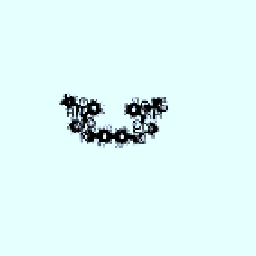 O=C(N[C@H](C(=O)N1CCC[C@H]1c1ncc(-c2ccc(-c3ccc(-c4cnc([C@@H]5CCCN5C(=O)[C@H](NC(=O)c5ccsc5)c5ccccc5)s4)cc3)cc2)s1)c1ccccc1)c1ccsc1